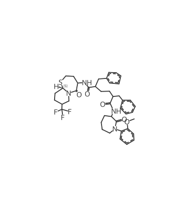 COc1ccccc1N1CCCCC(NC(=O)C(CCC(Cc2ccccc2)C(=O)NC2CCS[C@H]3CCC(C(F)(F)F)CN3C2=O)Cc2ccccc2)C1=O